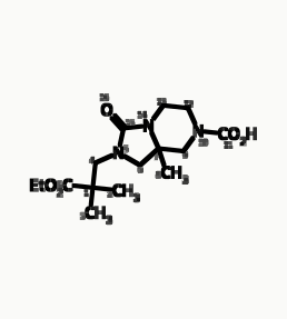 CCOC(=O)C(C)(C)CN1CC2(C)CN(C(=O)O)CCN2C1=O